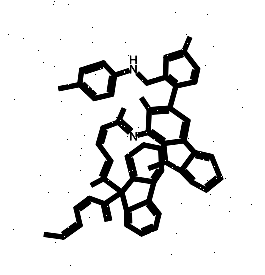 C=C(/C=C\C=C/C)C1(/C(C)=C/C=C\C(C)=N\c2c(C)c(-c3ccc(C)cc3CNc3ccc(C)cc3)cc3c2C(C)c2ccccc2-3)C2=CCCC=C2c2ccccc21